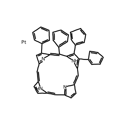 C1=Cc2cc3[nH]c(c(-c4ccccc4)c4nc(cc5ccc(cc1n2)[nH]5)C=C4c1ccccc1)c(-c1ccccc1)c3-c1ccccc1.[Pt]